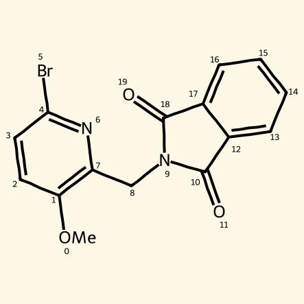 COc1ccc(Br)nc1CN1C(=O)c2ccccc2C1=O